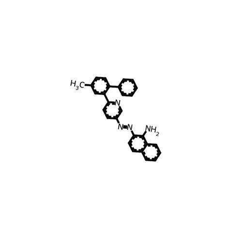 Cc1ccc(-c2ccccc2)c(-c2ccc(N=Nc3ccc4ccccc4c3N)cn2)c1